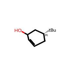 CC(C)(C)[C@@H]1CC=CC(O)C1